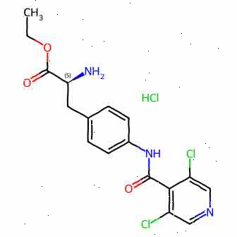 CCOC(=O)[C@@H](N)Cc1ccc(NC(=O)c2c(Cl)cncc2Cl)cc1.Cl